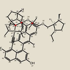 CCN1CC[C@H](C)[C@]1(C)COc1nc(N2C[C@H]3CC[C@@H](C2)N3C(=O)OC(C)(C)C)c2cc(F)c(-c3cc(O)cc4ccc(F)c(C#C[Si](C(C)C)(C(C)C)C(C)C)c34)c(F)c2n1